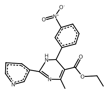 CCOC(=O)C1=C(C)N=C(c2cccnc2)NC1c1cccc([N+](=O)[O-])c1